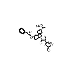 CC(O)N1CCC2(C1)CN(C(=O)NC1NCC(Cl)S1)C1CCC(ONCCc3ccccc3)C=C12